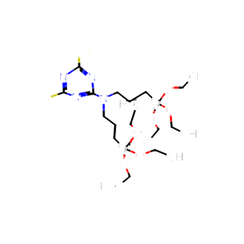 CCO[Si](CCCN(CCC[Si](OCC)(OCC)OCC)c1nc(S)nc(S)n1)(OCC)OCC